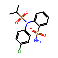 CC(C)S(=O)(=O)N(c1ccc(Cl)cc1)c1ccccc1S(N)(=O)=O